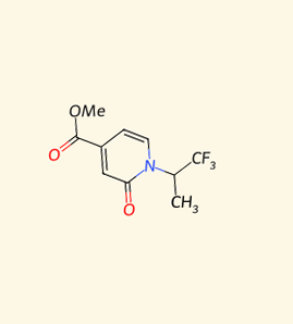 COC(=O)c1ccn(C(C)C(F)(F)F)c(=O)c1